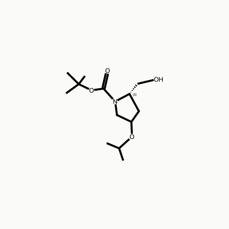 CC(C)OC1C[C@@H](CO)N(C(=O)OC(C)(C)C)C1